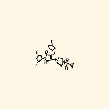 O=c1c(OC2CCC(F)C2)c(N2CCN(S(=O)(=O)C3CC3)CC2)cnn1-c1cc(F)cc(F)c1